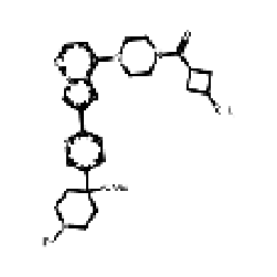 COC1(c2ccc(-c3cc4c(N5CCN(C(=O)C6CC(C)C6)CC5)ccnn4c3)nc2)CCN(C(C)C)CC1